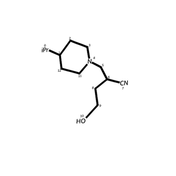 CC(C)C1CCN(CC(C#N)CCO)CC1